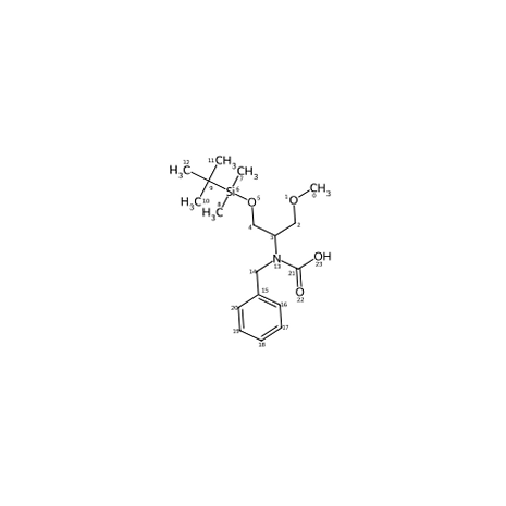 COCC(CO[Si](C)(C)C(C)(C)C)N(Cc1ccccc1)C(=O)O